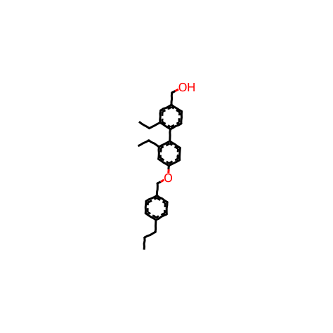 CCCc1ccc(COc2ccc(-c3ccc(CO)cc3CC)c(CC)c2)cc1